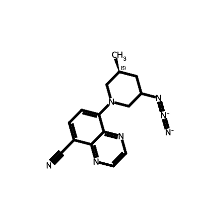 C[C@H]1CC(N=[N+]=[N-])CN(c2ccc(C#N)c3nccnc23)C1